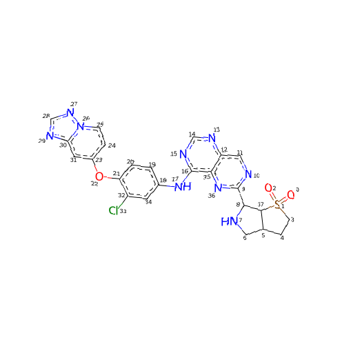 O=S1(=O)CCC2CNC(c3ncc4ncnc(Nc5ccc(Oc6ccn7ncnc7c6)c(Cl)c5)c4n3)C21